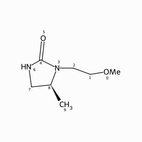 COCCN1C(=O)NC[C@@H]1C